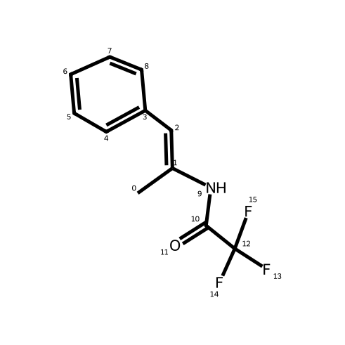 C/C(=C\c1ccccc1)NC(=O)C(F)(F)F